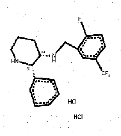 Cl.Cl.Fc1ccc(C(F)(F)F)cc1CN[C@H]1CCCN[C@H]1c1ccccc1